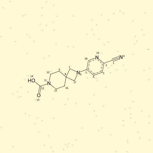 N#Cc1ccc(N2CC3(CCN(C(=O)O)CC3)C2)cn1